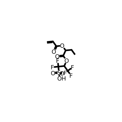 C=CC(=O)OC(CC)C(=O)OC(C(F)(F)F)C(F)(F)S(=O)(=O)O